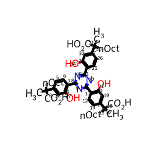 CCCCCCCCC(C)(C(=O)O)c1ccc(-c2nc(-c3ccc(C(C)(CCCCCCCC)C(=O)O)cc3O)nc(-c3ccc(C(C)(CCCCCCCC)C(=O)O)cc3O)n2)c(O)c1